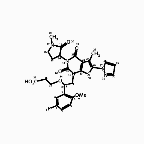 COc1ccc(F)cc1[C@H](Cn1c(=O)n(C2CCN(C)C2=O)c(=O)c2c(C)c(-n3cccn3)sc21)OCCC(=O)O